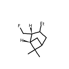 CCC1CC2C[C@@H]([C@@H]1CF)C2(C)C